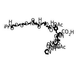 CC[C@H](C)[C@H](NC(=O)[C@H]1CCCCN1C)C(=O)N(C)C(C[C@@H](OC(C)=O)c1nc(C(=O)N[C@@H](Cc2ccc(OC(C)=O)c(NC(=O)C(C)(C)COC(C)(C)CCNC(=O)C#CC(=O)NCCOCCOCCOCCC(=O)NC(C)C)c2)CC(C)C(=O)O)cs1)C(C)C